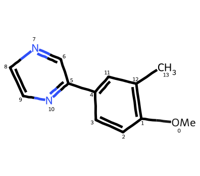 COc1ccc(-c2cnccn2)cc1C